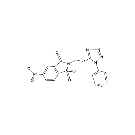 O=C1c2cc([N+](=O)[O-])ccc2S(=O)(=O)N1CSc1nnnn1-c1ccccc1